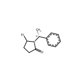 CCC1CCC(=O)N1[C@H](C)c1ccccc1